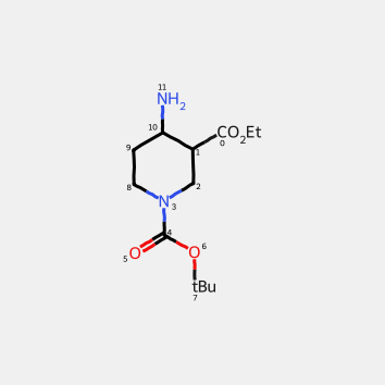 CCOC(=O)C1CN(C(=O)OC(C)(C)C)CCC1N